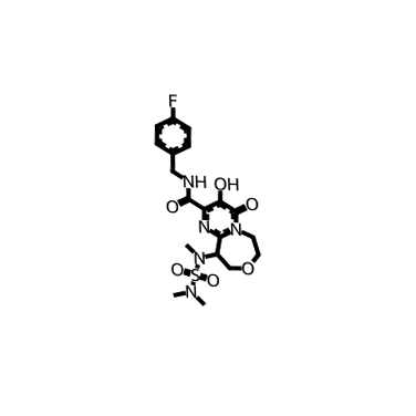 CN(C)S(=O)(=O)N(C)C1COCCn2c1nc(C(=O)NCc1ccc(F)cc1)c(O)c2=O